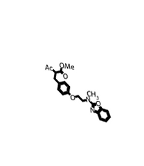 COC(=O)C(Cc1ccc(OCCN(C)c2nc3ccccc3o2)cc1)C(C)=O